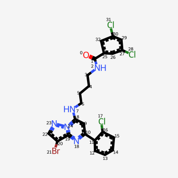 O=C(NCCCCNc1cc(-c2ccccc2Cl)nc2c(Br)cnn12)c1cc(Cl)cc(Cl)c1